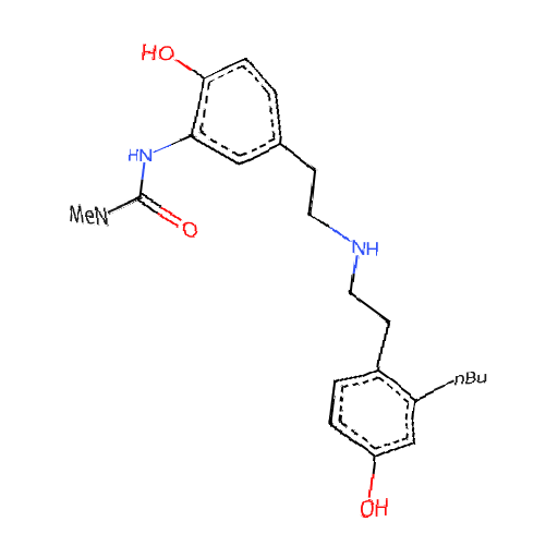 CCCCc1cc(O)ccc1CCNCCc1ccc(O)c(NC(=O)NC)c1